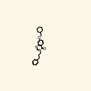 O=c1c2ccc(OCC3CCCCC3)cc2ncn1CCCc1ccccc1